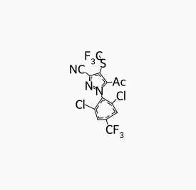 CC(=O)c1c(SC(F)(F)F)c(C#N)nn1-c1c(Cl)cc(C(F)(F)F)cc1Cl